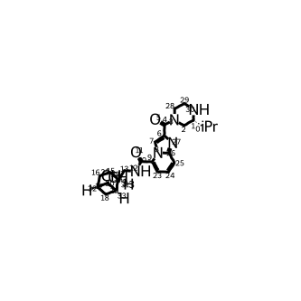 CC(C)[C@@H]1CN(C(=O)c2cn3c(C(=O)NC[C@@H]4CC[C@H]5C[C@H]4C5(C)C)cccc3n2)CCN1